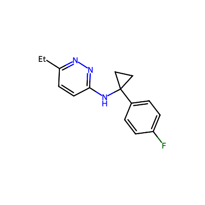 CCc1ccc(NC2(c3ccc(F)cc3)CC2)nn1